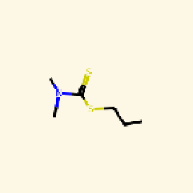 CC[CH]SC(=S)N(C)C